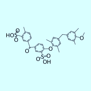 COc1c(C)cc(Cc2cc(C)c(Oc3ccc(C(=O)c4ccc(C)c(S(=O)(=O)O)c4)cc3S(=O)(=O)O)c(C)c2)cc1C